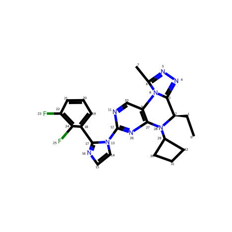 CC[C@@H]1c2nnc(C)n2-c2cnc(-n3ccnc3-c3cccc(F)c3F)nc2N1C1CCC1